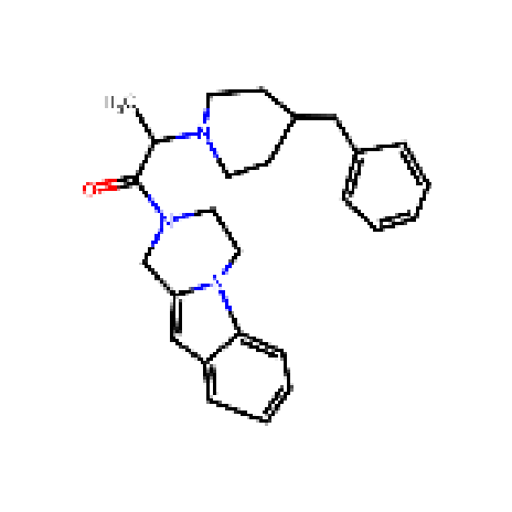 CC(C(=O)N1CCn2c(cc3ccccc32)C1)N1CCC(Cc2ccccc2)CC1